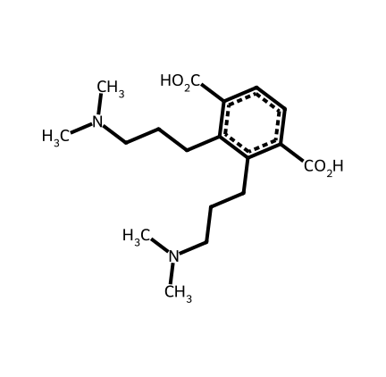 CN(C)CCCc1c(C(=O)O)ccc(C(=O)O)c1CCCN(C)C